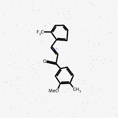 COc1cc(C(=O)/C=C/c2ccccc2C(F)(F)F)ccc1C